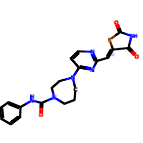 O=C1NC(=O)/C(=C/c2nccc(N3CCCN(C(=O)Nc4ccccc4)CC3)n2)S1